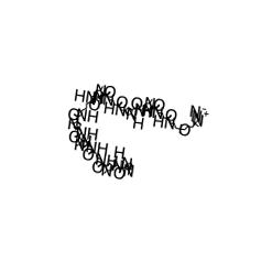 Cn1cc(NC(=O)c2nc(NC(=O)CCNC(=O)c3cc(NC(=O)c4nccn4C)cn3C)cn2C)cc1C(=O)NCCCC(=O)Nc1cn(C)c(C(=O)NCCC(=O)Nc2cc(C(=O)Nc3cn(C)c(C(=O)NCCC(=O)NCCC(C)(C)OCCC(C)(C)N=[N+]=[N-])n3)n(C)c2)n1